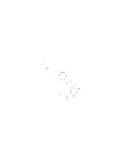 C/N=C(/COC)c1cc(C(=O)N2Cc3ccc(OCCN4CCNCC4)cc3C2)c(O)cc1C